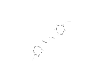 CN(C)c1ccc(/C=N/N=C/c2ccc(F)cc2)cc1